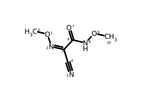 CON=C(C#N)C(=O)NOC